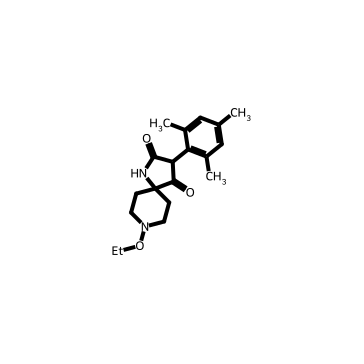 CCON1CCC2(CC1)NC(=O)C(c1c(C)cc(C)cc1C)C2=O